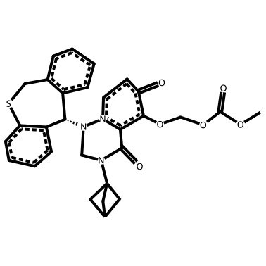 COC(=O)OCOc1c2n(ccc1=O)N([C@H]1c3ccccc3CSc3ccccc31)CN(C13CC(C1)C3)C2=O